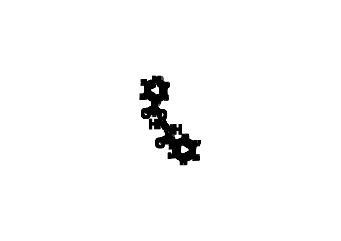 O=C(NNOC(=O)c1ccncc1)c1ccccc1